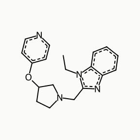 CCn1c(CN2CCC(Oc3ccncc3)C2)nc2ccccc21